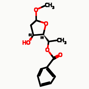 COC1C[C@H](O)[C@@H](C(C)OC(=O)c2ccccc2)O1